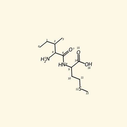 CCC(C)C(N)C(=O)NC(CCSC)C(=O)O